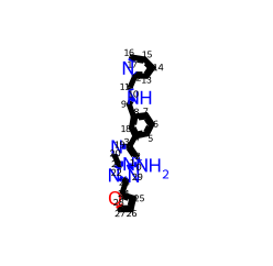 N[N+]12C=C(c3cccc(CNCc4ccccn4)c3)N=CC1=NC(c1ccco1)=N2